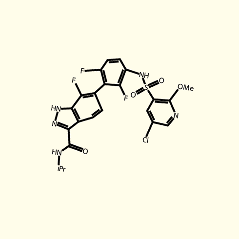 COc1ncc(Cl)cc1S(=O)(=O)Nc1ccc(F)c(-c2ccc3c(C(=O)NC(C)C)n[nH]c3c2F)c1F